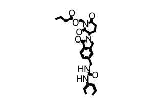 C/C=C\C(=C/C)NC(=O)NCc1ccc2c(c1)CN(C1CCC(=O)N(COC(=O)CCC)C1=O)C2=O